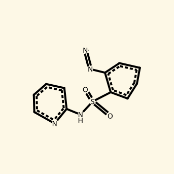 [N]=Nc1ccccc1S(=O)(=O)Nc1ccccn1